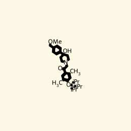 COCc1ccc(C2(O)CCN(CC(=O)c3cc(C)c(O[Si](C(C)C)(C(C)C)C(C)C)cc3C)CC2)cc1